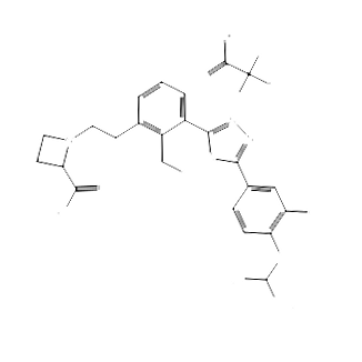 CCc1c(CCN2CCC2C(=O)O)cccc1-c1nnc(-c2ccc(OC(C)C)c(Cl)c2)s1.O=C(O)C(F)(F)F